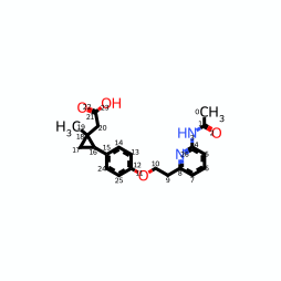 CC(=O)Nc1cccc(CCOc2ccc(C3CC3(C)CC(=O)O)cc2)n1